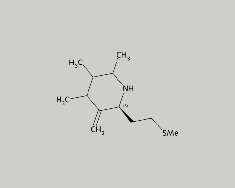 C=C1C(C)C(C)C(C)N[C@H]1CCSC